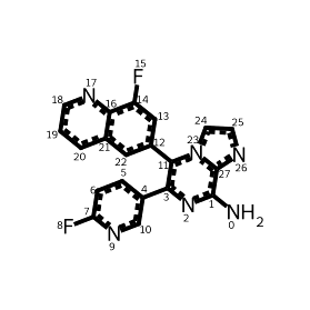 Nc1nc(-c2ccc(F)nc2)c(-c2cc(F)c3ncccc3c2)n2ccnc12